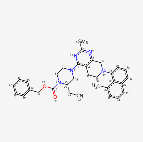 CSc1nc2c(c(N3CCN(C(=O)OCc4ccccc4)[C@@H](CC#N)C3)n1)CCN(c1cccc3cccc(C)c13)C2